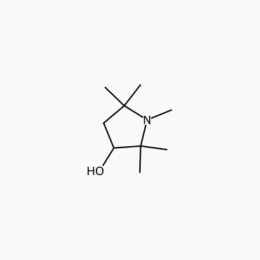 CN1C(C)(C)CC(O)C1(C)C